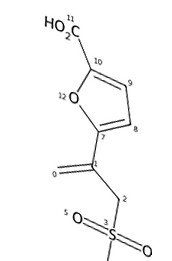 C=C(CS(C)(=O)=O)c1ccc(C(=O)O)o1